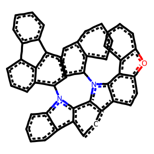 c1ccc2c(c1)-c1cccc3c(-n4c5ccccc5c5ccc6c7ccc8oc9ccccc9c8c7n(-c7cccc8ccccc78)c6c54)ccc-2c13